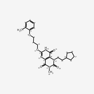 Cc1ccccc1OCCCOc1nc2c(=O)n(C)c(=O)n(CCC3CCCC3)c2c(=O)[nH]1